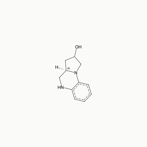 OC1C[C@@H]2CNc3ccccc3N2C1